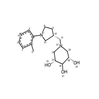 Cc1ccncc1N1CC[C@H](CN2C[C@@H](O)C(O)[C@@H](O)C2)C1